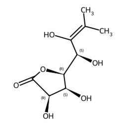 CC(C)=C(O)[C@@H](O)[C@@H]1OC(=O)[C@H](O)[C@@H]1O